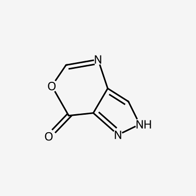 O=c1ocnc2c[nH]nc12